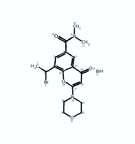 Br.CC(Br)c1cc(C(=O)N(C)C)cc2c(=O)cc(N3CCOCC3)oc12